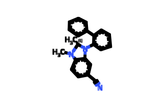 C[C@H]1N(C)c2ccc(C#N)cc2N1c1ccccc1-c1ccccc1